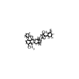 Cc1ccc(-n2nccn2)c(C(=O)N2CC[C@H]3CN(c4nc(C)c(-c5cccc(F)c5)o4)[C@@H]3C2)c1F